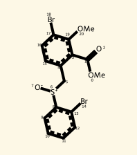 COC(=O)c1c(C[S+]([O-])c2ccccc2Br)ccc(Br)c1OC